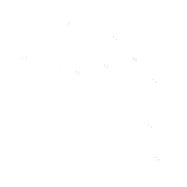 Cc1c(CC=O)c(=O)n(C2CCCC2)c2nc(Nc3ccc(N4CCNCC4)cn3)ncc12